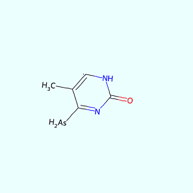 Cc1[c][nH]c(=O)nc1[AsH2]